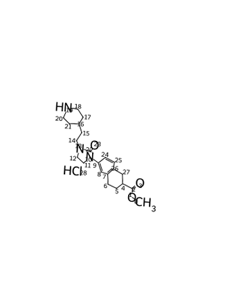 COC(=O)C1CCc2cc(N3CCN(CCC4CCNCC4)C3=O)ccc2C1.Cl